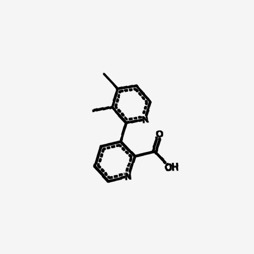 Cc1ccnc(-c2cccnc2C(=O)O)c1C